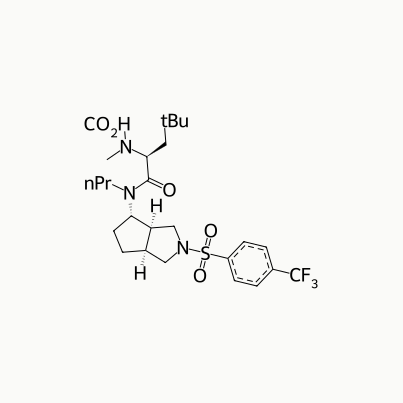 CCCN(C(=O)[C@H](CC(C)(C)C)N(C)C(=O)O)[C@H]1CC[C@@H]2CN(S(=O)(=O)c3ccc(C(F)(F)F)cc3)C[C@@H]21